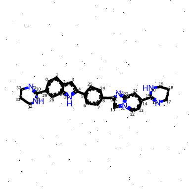 c1cc2cc(-c3ccc(-c4cn5ccc(C6=NCCCN6)cc5n4)cc3)[nH]c2cc1C1=NCCCN1